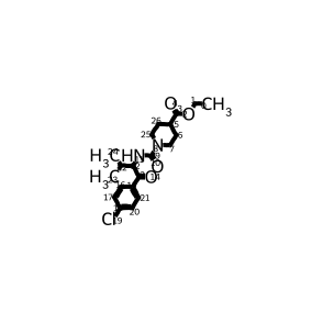 CCOC(=O)C1CCN(C(=O)NC(C(=O)c2ccc(Cl)cc2)C(C)C)CC1